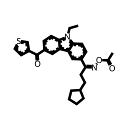 CCn1c2ccc(C(=O)c3ccsc3)cc2c2cc(/C(CCC3CCCC3)=N\OC(C)=O)ccc21